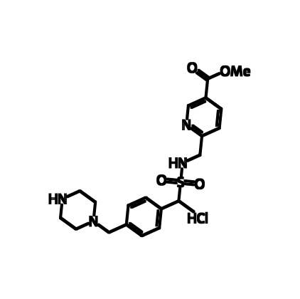 COC(=O)c1ccc(CNS(=O)(=O)C(C)c2ccc(CN3CCNCC3)cc2)nc1.Cl